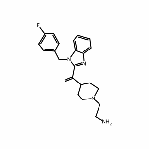 C=C(c1nc2ccccc2n1Cc1ccc(F)cc1)C1CCN(CCN)CC1